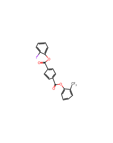 O=C(Oc1ccccc1I)c1ccc(C(=O)Oc2ccccc2C(F)(F)F)cc1